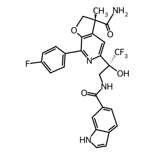 C[C@]1(C(N)=O)COc2c1cc([C@@](O)(CNC(=O)c1ccc3cc[nH]c3c1)C(F)(F)F)nc2-c1ccc(F)cc1